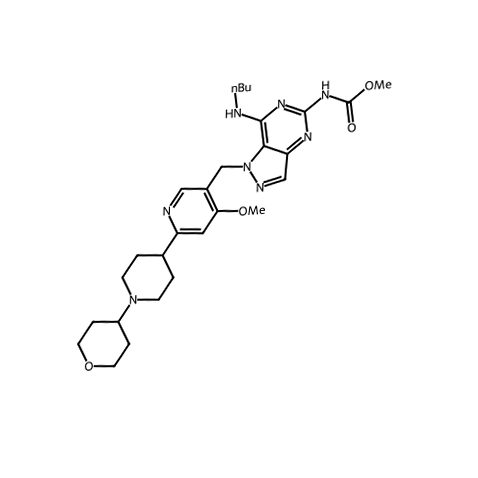 CCCCNc1nc(NC(=O)OC)nc2cnn(Cc3cnc(C4CCN(C5CCOCC5)CC4)cc3OC)c12